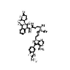 CCCN(OCCn1nc(-c2ccc3oc(N)nc3c2)c2c(N)ncnc21)C(CC)CCC(=O)NC1C(=O)N(C2CCC(=O)NC2=O)C(=O)c2ccccc21